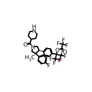 C[C@]1(c2ccc(F)cc2)CN(C(=O)C2CCNCC2)C[C@H]1c1ccc(C(OC(=O)C(F)(F)F)(C(F)(F)F)C(F)(F)F)cc1